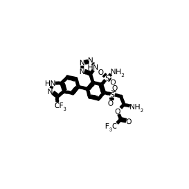 NC(CS(=O)(=O)c1ccc(-c2ccc3[nH]nc(C(F)(F)F)c3c2)c(-c2nnn[nH]2)c1S(N)(=O)=O)OC(=O)C(F)(F)F